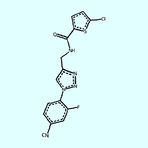 [C-]#[N+]c1ccc(-n2cc(CNC(=O)c3ccc(Cl)s3)nn2)c(F)c1